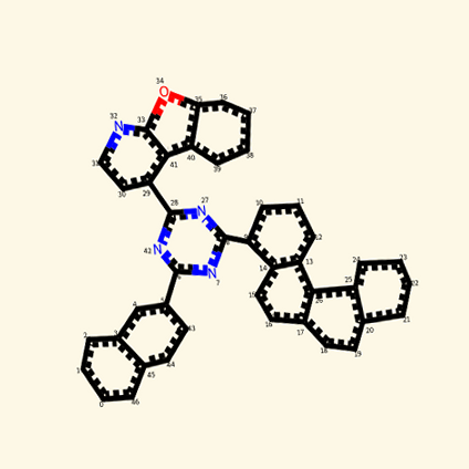 c1ccc2cc(-c3nc(-c4cccc5c4ccc4ccc6ccccc6c45)nc(-c4ccnc5oc6ccccc6c45)n3)ccc2c1